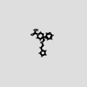 O=C(O)N1CCC(COCCN2CCCC2)(c2cccnc2)CC1